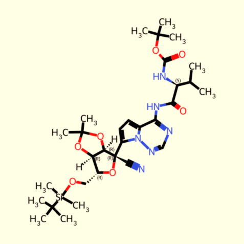 CC(C)[C@H](NC(=O)OC(C)(C)C)C(=O)Nc1ncnn2c([C@]3(C#N)O[C@H](CO[Si](C)(C)C(C)(C)C)[C@H]4OC(C)(C)O[C@H]43)ccc12